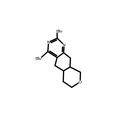 CC(C)(C)c1nc2c(c(C(C)(C)C)n1)CC1CCOCC1C2